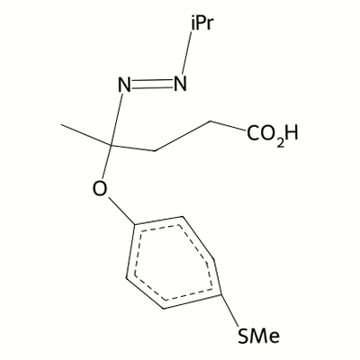 CSc1ccc(OC(C)(CCC(=O)O)N=NC(C)C)cc1